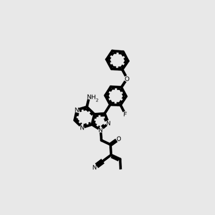 CC=C(C#N)C(=O)Cn1nc(-c2ccc(Oc3ccccc3)cc2F)c2c(N)ncnc21